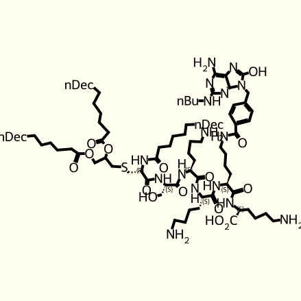 CCCCCCCCCCCCCCCC(=O)N[C@@H](CSCC(COC(=O)CCCCCCCCCCCCCCC)OC(=O)CCCCCCCCCCCCCCC)C(=O)N[C@@H](CO)C(=O)N[C@@H](CCCCN)C(=O)N[C@@H](CCCCN)C(=O)N[C@@H](CCCCNC(=O)c1ccc(Cn2c(O)nc3c(N)nc(NCCCC)nc32)cc1)C(=O)N[C@@H](CCCCN)C(=O)O